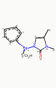 CC1CN(N(C(=O)O)c2ccccc2)C(=O)N1C